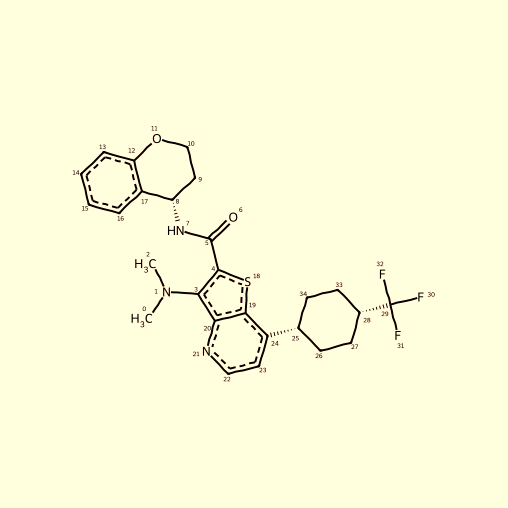 CN(C)c1c(C(=O)N[C@H]2CCOc3ccccc32)sc2c1nccc2[C@H]1CC[C@@H](C(F)(F)F)CC1